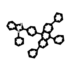 c1ccc(-c2ccc3c(-c4ccc(-c5nc6ccccc6n5-c5ccccc5)cc4)c4cc(-c5ccccc5)ccc4c(-c4ccccc4)c3c2)cc1